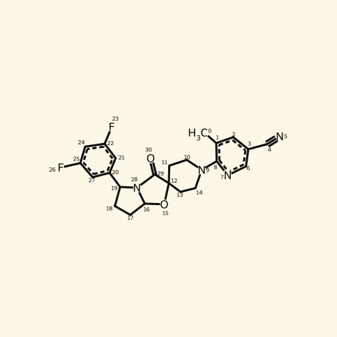 Cc1cc(C#N)cnc1N1CCC2(CC1)OC1CCC(c3cc(F)cc(F)c3)N1C2=O